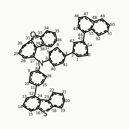 c1cc(-c2ccc(N(c3ccc(-c4cccc5sc6ccccc6c45)cc3)c3cccc4oc5ccccc5c34)cc2)cc(-c2cccc3ccccc23)c1